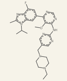 CCN1CCN(Cc2cnc(Nc3ncnc(-c4cc(F)c5nc(C)n(C(C)C)c5c4)c3OC)nc2)CC1